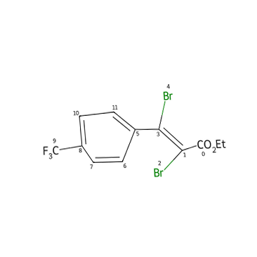 CCOC(=O)C(Br)=C(Br)c1ccc(C(F)(F)F)cc1